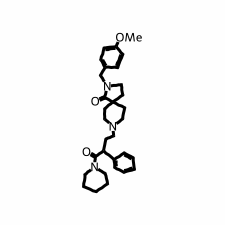 COc1ccc(CN2CCC3(CCN(CCC(C(=O)N4CCCCC4)c4ccccc4)CC3)C2=O)cc1